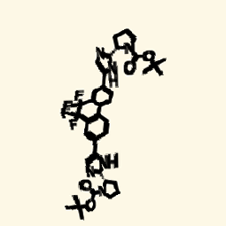 CC(C)(C)OC(=O)N1CCC[C@H]1c1ncc(-c2ccc3c(c2)C(F)(F)C(F)(F)c2cc(-c4cnc([C@@H]5CCCN5C(=O)OC(C)(C)C)[nH]4)ccc2-3)[nH]1